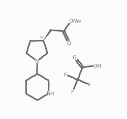 COC(=O)C[C@@H]1CCN(C2CCCNC2)C1.O=C(O)C(F)(F)F